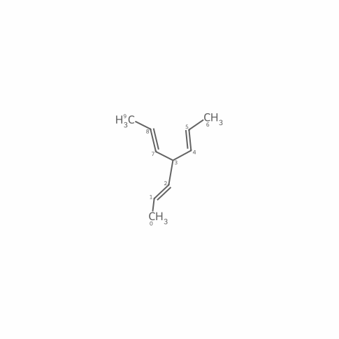 CC=CC(C=CC)C=CC